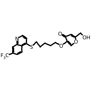 O=c1cc(CO)occ1OCCCCCSc1ccnc2cc(C(F)(F)F)ccc12